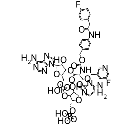 Nc1ccn([C@@H]2O[C@H](COP(=O)(O)O)[C@@H](OP(=O)(O)OC[C@H]3O[C@@H](n4cnc5c(N)ncnc54)[C@H](O)[C@@H]3OC(=O)[C@H](COCc3cncc(F)c3)NC(=O)OCc3ccc(NC(=O)Cc4ccc(F)cc4)cc3)[C@H]2O)c(=O)n1